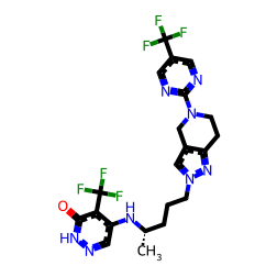 C[C@@H](CCCn1cc2c(n1)CCN(c1ncc(C(F)(F)F)cn1)C2)Nc1cn[nH]c(=O)c1C(F)(F)F